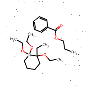 CCCOC(=O)c1ccccc1.CCOC1(CC)CCCC[Si]1(OCC)OCC